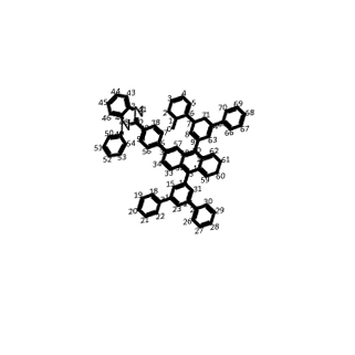 CC1CC=CC=C1C1C=C(c2c3c(c(-c4cc(-c5ccccc5)cc(-c5ccccc5)c4)c4ccc(-c5ccc(-c6nc7ccccc7n6-c6ccccc6)cc5)cc24)=CCCC=3)C=C(c2ccccc2)C1